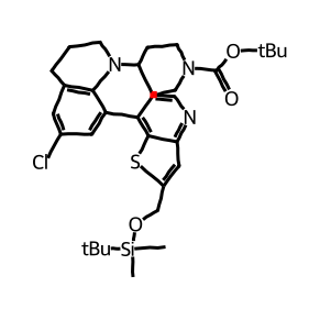 CC(C)(C)OC(=O)N1CCC(N2CCCc3cc(Cl)cc(-c4ccnc5cc(CO[Si](C)(C)C(C)(C)C)sc45)c32)CC1